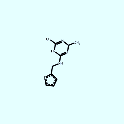 CC1=NC(C)N=C(NCc2cccs2)N1